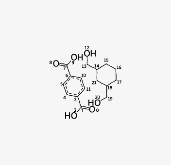 O=C(O)c1ccc(C(=O)O)cc1.OCC1CCCC(CO)C1